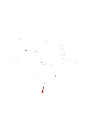 CC(C)(C)[C@@H](N)C(=O)N1C[C@H](O)C[C@H]1C(N)=O